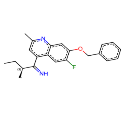 [CH2][C@@H](CC)C(=N)c1cc(C)nc2cc(OCc3ccccc3)c(F)cc12